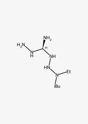 CCC(C)N(CC)NN[C@H](N)NN